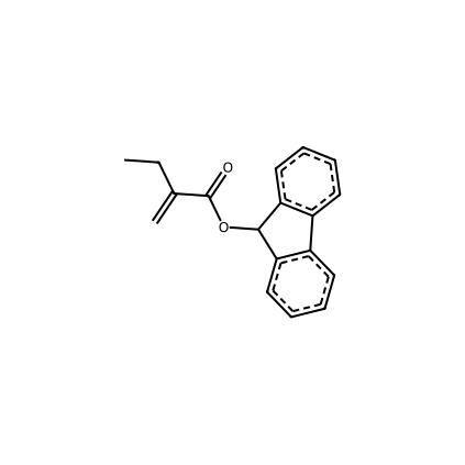 C=C(CC)C(=O)OC1c2ccccc2-c2ccccc21